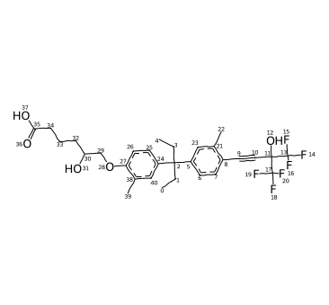 CCC(CC)(c1ccc(C#CC(O)(C(F)(F)F)C(F)(F)F)c(C)c1)c1ccc(OCC(O)CCCC(=O)O)c(C)c1